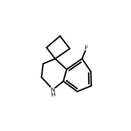 Fc1cccc2c1C1(CCC1)CCN2